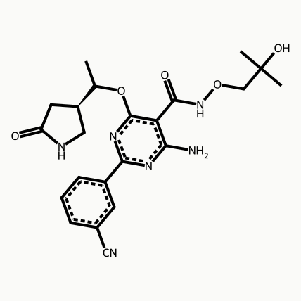 CC(Oc1nc(-c2cccc(C#N)c2)nc(N)c1C(=O)NOCC(C)(C)O)[C@H]1CNC(=O)C1